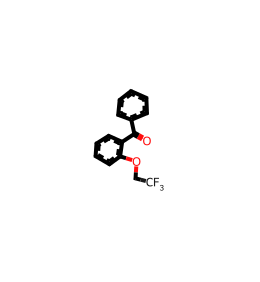 O=C(c1ccccc1)c1ccccc1OCC(F)(F)F